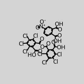 O=C(O)c1c(Cl)c(Cl)c(Cl)c(Cl)c1C(=O)OC(=O)c1c(Cl)c(Cl)c(Cl)c(Cl)c1C(=O)O.O=C(O)c1ccc([N+](=O)[O-])cc1C(=O)O